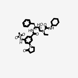 CCN(C[C@H](O)[C@H](Cc1ccccc1)NC(=O)c1cc(NS(C)(=O)=O)cc(N2CCCC2=O)c1)C(=O)NC1CCCCC1